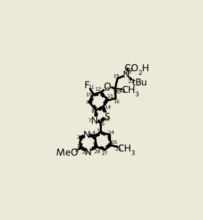 COc1cnc2c(-c3nc4cc(F)c5c(c4s3)C[C@@](C)(CN(C(=O)O)C(C)(C)C)O5)cc(C)cc2n1